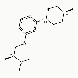 C[C@H]1CC[C@H](c2cccc(OC[C@H](C)N(C)C)c2)NC1